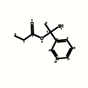 CCC(=O)OC(C)(S)c1cccnc1